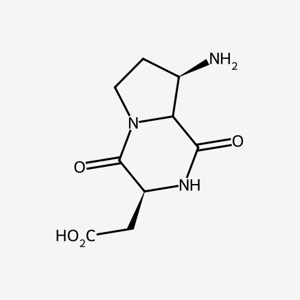 N[C@@H]1CCN2C(=O)[C@H](CC(=O)O)NC(=O)C12